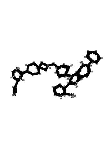 N#Cc1ncnc(N2CCC3(CC2)CN(Cc2ccc(-n4c(-c5cccnc5N)nc5ccc(-c6ccccc6)nc54)cc2)C3)n1